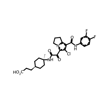 C[C@]1(NC(=O)C(=O)c2c(Cl)c(C(=O)Nc3ccc(F)c(F)c3)c3n2CCC3)CC[C@@H](CCC(=O)O)CC1